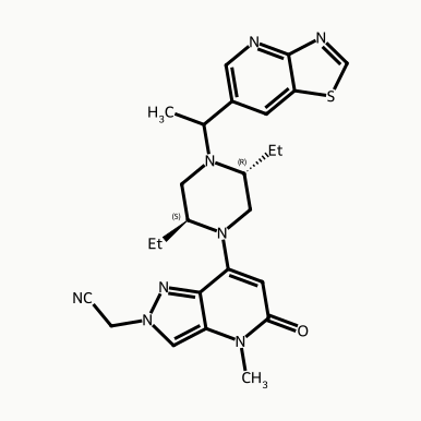 CC[C@H]1CN(C(C)c2cnc3ncsc3c2)[C@H](CC)CN1c1cc(=O)n(C)c2cn(CC#N)nc12